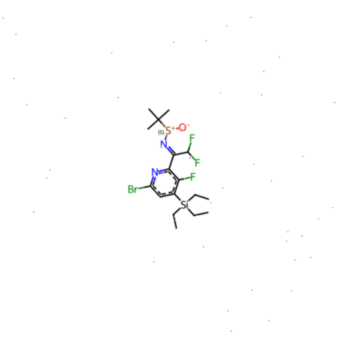 CC[Si](CC)(CC)c1cc(Br)nc(C(=N[S@+]([O-])C(C)(C)C)C(F)F)c1F